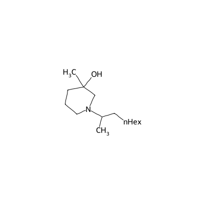 CCCCCCCC(C)N1CCCC(C)(O)C1